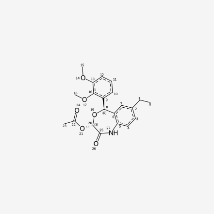 CCc1ccc2c(c1)[C@H](c1cccc(OC)c1OC)O[C@@H](OC(C)=O)C(=O)N2